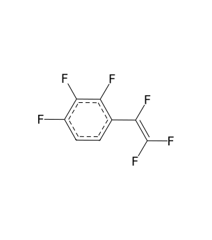 FC(F)=C(F)c1ccc(F)c(F)c1F